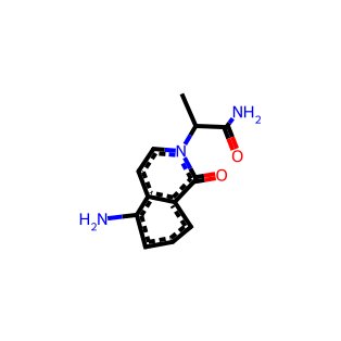 CC(C(N)=O)n1ccc2c(N)cccc2c1=O